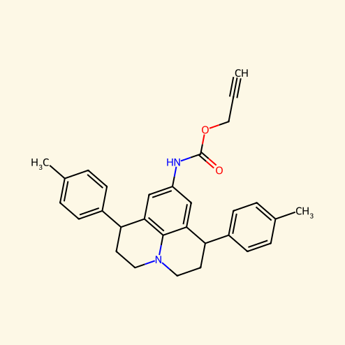 C#CCOC(=O)Nc1cc2c3c(c1)C(c1ccc(C)cc1)CCN3CCC2c1ccc(C)cc1